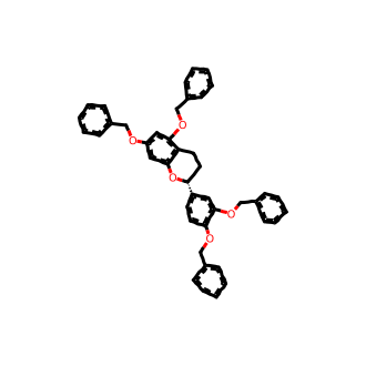 c1ccc(COc2cc(OCc3ccccc3)c3c(c2)O[C@@H](c2ccc(OCc4ccccc4)c(OCc4ccccc4)c2)CC3)cc1